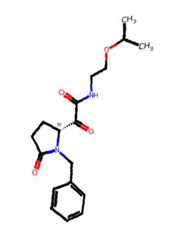 CC(C)OCCNC(=O)C(=O)[C@H]1CCC(=O)N1Cc1ccccc1